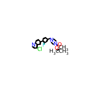 CC(C)(C)OC(=O)N1CCN(Cc2ccc(-c3ccc4nccc(Cl)c4c3)c(F)c2)CC1